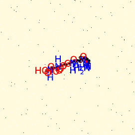 CC(C)(C/C(N)=N/N)CC(C)(C)C(=O)NSCCCC(=O)NCCOCCOCC(=O)N[C@@H](CCC(=O)NCC(=O)O)C(=O)O